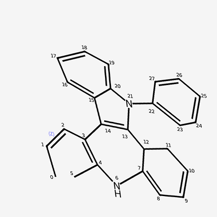 C/C=C\C1=C(C)NC2=CC=CCC2c2c1c1ccccc1n2-c1ccccc1